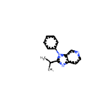 CC(C)c1nc2ccncc2n1-c1ccccc1